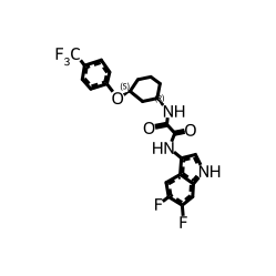 O=C(Nc1c[nH]c2cc(F)c(F)cc12)C(=O)N[C@@H]1CCC[C@H](Oc2ccc(C(F)(F)F)cc2)C1